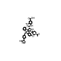 COc1cc(C(=O)O)ccc1NC(=O)[C@@H]1N[C@@H](CC2(C)CCN(C(C)=O)CC2)[C@@]2(CN(Cc3ccc(-c4nnn[nH]4)cc3)c3ccc(Cl)cc32)[C@H]1c1ccccc1Cl